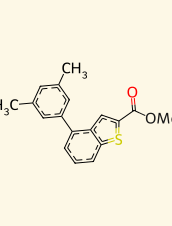 COC(=O)c1cc2c(-c3cc(C)cc(C)c3)cccc2s1